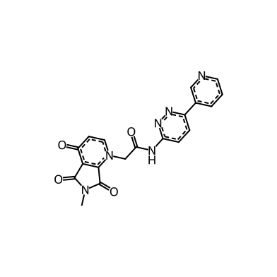 CN1C(=O)c2c(n(CC(=O)Nc3ccc(-c4cccnc4)nn3)ccc2=O)C1=O